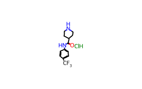 Cl.O=C(Nc1ccc(C(F)(F)F)cc1)C1CCNCC1